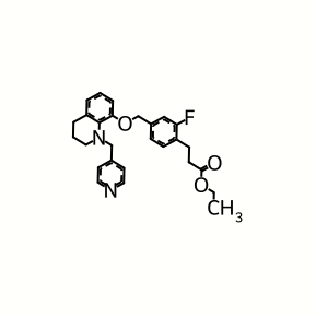 CCOC(=O)CCc1ccc(COc2cccc3c2N(Cc2ccncc2)CCC3)cc1F